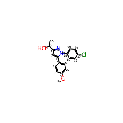 COc1ccc(-c2cc(C(C)O)nn2-c2ccc(Cl)cc2)cc1